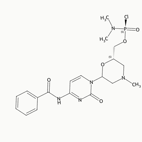 CN1CC(n2ccc(NC(=O)c3ccccc3)nc2=O)O[C@H](CO[P@](=O)(Cl)N(C)C)C1